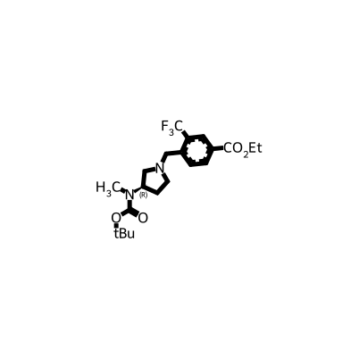 CCOC(=O)c1ccc(CN2CC[C@@H](N(C)C(=O)OC(C)(C)C)C2)c(C(F)(F)F)c1